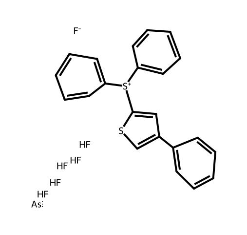 F.F.F.F.F.[As].[F-].c1ccc(-c2csc([S+](c3ccccc3)c3ccccc3)c2)cc1